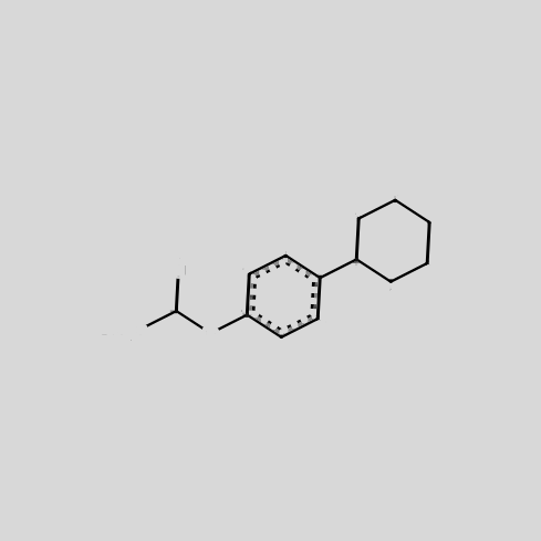 CCOC(=O)C(C)Oc1ccc(C2CCCCC2)cc1